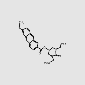 C=Cc1ccc2cc3cc(C(=O)OC4CN(COC)C(=O)N(COC)C4)ccc3cc2c1